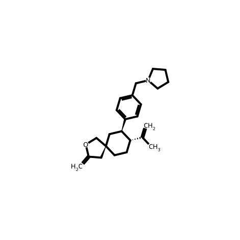 C=C1C[C@@]2(CC[C@@H](C(=C)C)[C@H](c3ccc(CN4CCCC4)cc3)C2)CO1